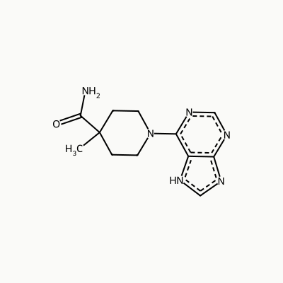 CC1(C(N)=O)CCN(c2ncnc3nc[nH]c23)CC1